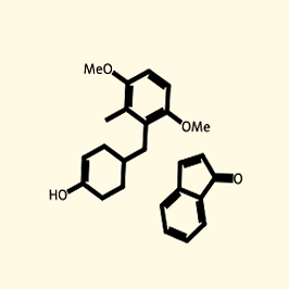 COc1ccc(OC)c(CC2CC=C(O)CC2)c1C.O=C1C=Cc2ccccc21